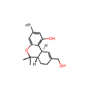 CCCc1cc(O)c2c(c1)OC(C)(C)[C@H]1CCC(CO)=C[C@H]21